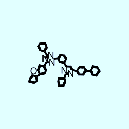 c1ccc(-c2ccc(-c3cc(-c4cccc(-c5nc(-c6ccccc6)nc(-c6ccc7c(c6)oc6ccccc67)n5)c4)nc(-c4ccccc4)n3)cc2)cc1